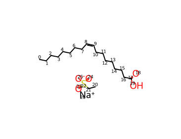 CCCCCCCC/C=C\CCCCCCCC(=O)O.CCS(=O)(=O)[O-].[Na+]